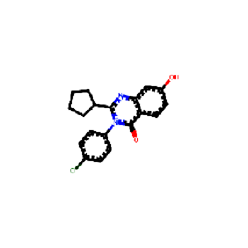 O=c1c2ccc(O)cc2nc(C2CCCC2)n1-c1ccc(Cl)cc1